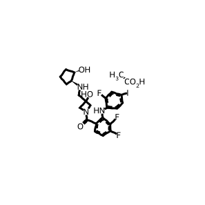 CC(=O)O.O=C(c1ccc(F)c(F)c1Nc1ccc(I)cc1F)N1CC(O)(CN[C@H]2CCC[C@@H]2O)C1